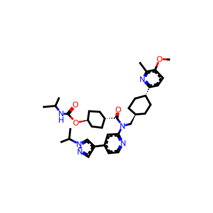 COc1ccc([C@H]2CC[C@H](CN(c3cc(-c4cnn(C(C)C)c4)ccn3)C(=O)[C@H]3CC[C@H](OC(=O)NC(C)C)CC3)CC2)nc1C